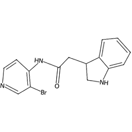 O=C(CC1CNc2ccccc21)Nc1ccncc1Br